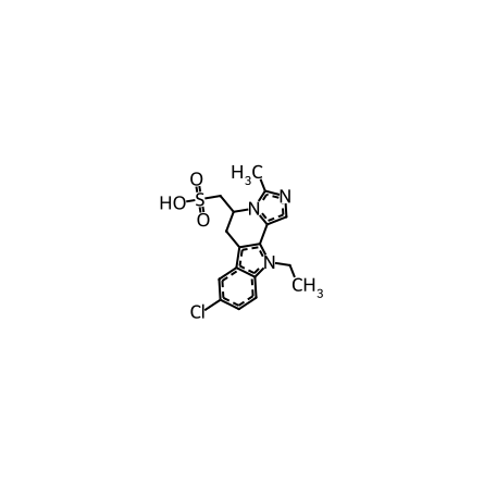 CCn1c2c(c3cc(Cl)ccc31)CC(CS(=O)(=O)O)n1c-2cnc1C